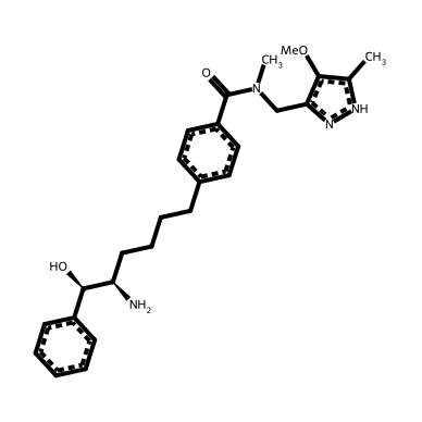 COc1c(CN(C)C(=O)c2ccc(CCCC[C@@H](N)[C@H](O)c3ccccc3)cc2)n[nH]c1C